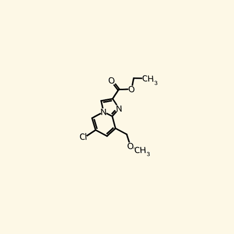 CCOC(=O)c1cn2cc(Cl)cc(COC)c2n1